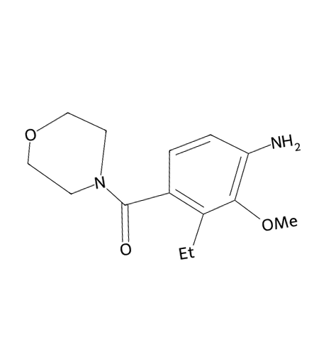 CCc1c(C(=O)N2CCOCC2)ccc(N)c1OC